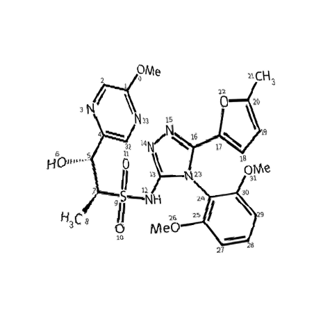 COc1cnc([C@@H](O)[C@H](C)S(=O)(=O)Nc2nnc(-c3ccc(C)o3)n2-c2c(OC)cccc2OC)cn1